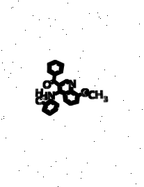 COc1cccc2c(Nc3ccccc3C)c(C(=O)c3ccccc3)cnc12